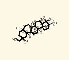 CC1(CO)CC[C@]2(C)CC[C@]3(C)C(=CC[C@@H]4[C@@]5(C)CC[C@H](O)C(C)(C)C5CC[C@]43C)[C@@H]2C1